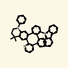 CC1(C)CCN(c2ccccc2)c2cc3c(cc21)-c1ncccc1-c1ccccc1-c1c-3cccc1-n1c2ccccc2c2ccccc21